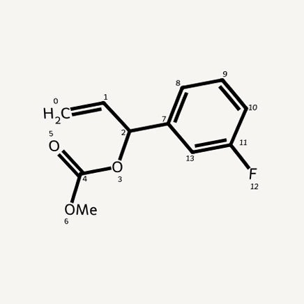 C=CC(OC(=O)OC)c1cccc(F)c1